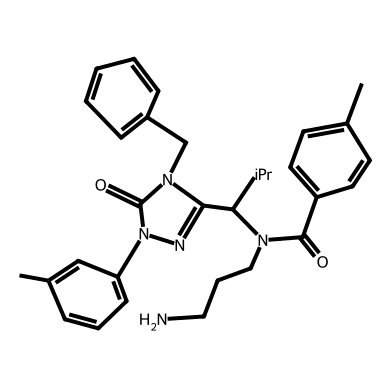 Cc1ccc(C(=O)N(CCCN)C(c2nn(-c3cccc(C)c3)c(=O)n2Cc2ccccc2)C(C)C)cc1